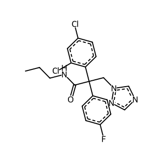 CCCNC(=O)C(Cn1cncn1)(c1ccc(F)cc1)c1ccc(Cl)cc1Cl